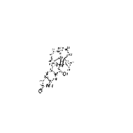 Cc1cc2c(cc1C(=O)NC1(c3cccc4ccccc34)CC1)NC(=O)C2